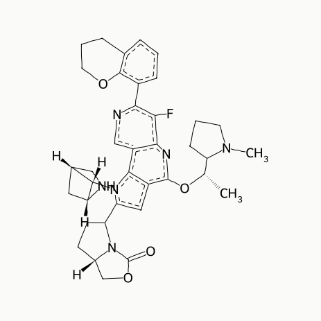 C[C@H](Oc1nc2c(F)c(-c3cccc4c3OCCC4)ncc2c2c1cc(C1CC[C@H]3COC(=O)N13)n2[C@H]1[C@H]2CN[C@@H]1C2)C1CCCN1C